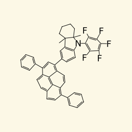 CC12CCCCC1(C)N(c1c(F)c(F)c(F)c(F)c1F)c1ccc(-c3cc(-c4ccccc4)c4ccc5ccc(-c6ccccc6)c6ccc3c4c56)cc12